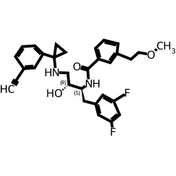 C#Cc1cccc(C2(NC[C@@H](O)[C@H](Cc3cc(F)cc(F)c3)NC(=O)c3cccc(CCOC)c3)CC2)c1